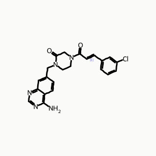 Nc1ncnc2cc(CN3CCN(C(=O)/C=C/c4cccc(Cl)c4)CC3=O)ccc12